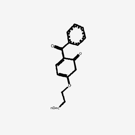 CCCCCCCCCCCCOC1=CC=C(C(=O)c2ccccc2)C(=O)C1